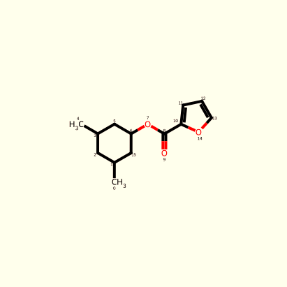 CC1CC(C)CC(OC(=O)c2ccco2)C1